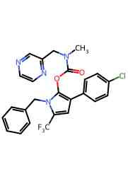 CN(Cc1cnccn1)C(=O)Oc1c(-c2ccc(Cl)cc2)cc(C(F)(F)F)n1Cc1ccccc1